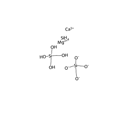 O[Si](O)(O)O.[Ca+2].[Mg+2].[O-][Si]([O-])([O-])[O-].[SiH4]